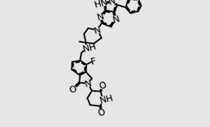 CC1(NCc2ccc3c(c2F)CN(C2CCC(=O)NC2=O)C3=O)CCN(c2cnc3c(-c4cccc(Cl)c4Cl)n[nH]c3n2)CC1